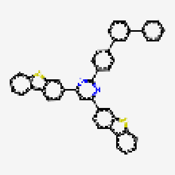 c1ccc(-c2cccc(-c3ccc(-c4nc(-c5ccc6c(c5)sc5ccccc56)cc(-c5ccc6c(c5)sc5ccccc56)n4)cc3)c2)cc1